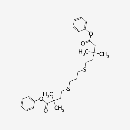 CC(C)(CCSCCCSCCC(C)(C)C(=O)Oc1ccccc1)CC(=O)Oc1ccccc1